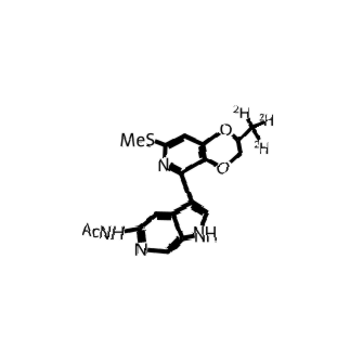 [2H]C([2H])([2H])C1COc2c(cc(SC)nc2-c2c[nH]c3cnc(NC(C)=O)cc23)O1